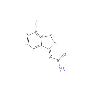 NC(=O)C=C1CCc2c(Cl)cccc21